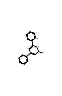 ClC1C=C(c2ccccc2)C=C(c2ccccc2)N1